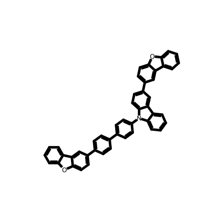 c1ccc2c(c1)oc1ccc(-c3ccc(-c4ccc(-n5c6ccccc6c6cc(-c7ccc8oc9ccccc9c8c7)ccc65)cc4)cc3)cc12